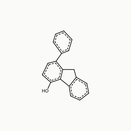 Oc1ccc(-c2ccccc2)c2c1-c1ccccc1C2